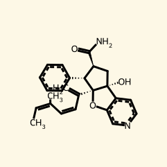 C=C(/C=C\C(C)=C/C)[C@@]12Oc3cnccc3[C@]1(O)C[C@H](C(N)=O)[C@H]2c1ccccc1